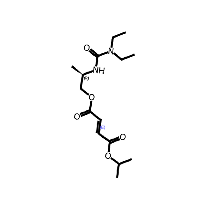 CCN(CC)C(=O)N[C@H](C)COC(=O)/C=C/C(=O)OC(C)C